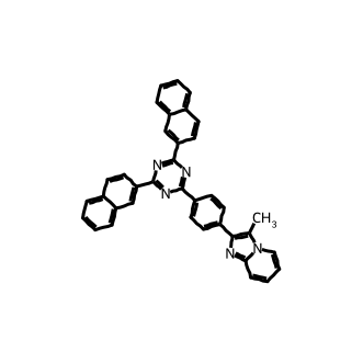 Cc1c(-c2ccc(-c3nc(-c4ccc5ccccc5c4)nc(-c4ccc5ccccc5c4)n3)cc2)nc2ccccn12